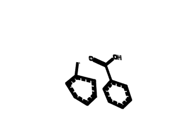 O=C(O)c1ccccc1.[CH2]c1ccccc1